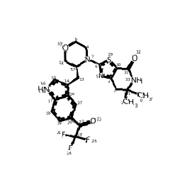 CC1(C)Cc2nc(N3CCOC[C@@H]3Cc3c[nH]c4ccc(C(=O)C(F)(F)F)cc34)sc2C(=O)N1